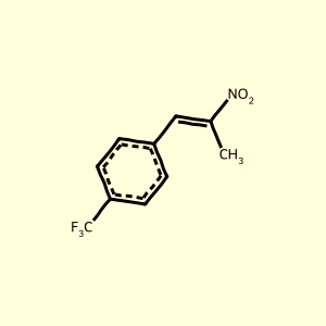 CC(=Cc1ccc(C(F)(F)F)cc1)[N+](=O)[O-]